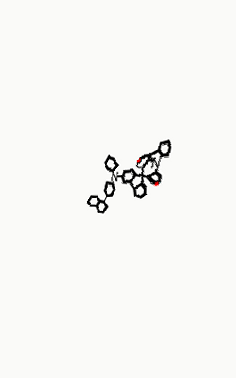 c1ccc(N(c2ccc(-c3cccc4ccccc34)cc2)c2ccc3c(c2)-c2ccccc2C32c3ccccc3-n3c4ccccc4c4cccc2c43)cc1